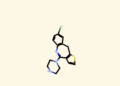 Clc1ccc2c(c1)Cc1sccc1C(N1CCNCC1)=N2